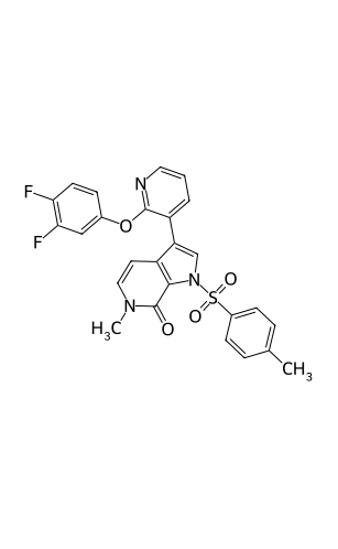 Cc1ccc(S(=O)(=O)n2cc(-c3cccnc3Oc3ccc(F)c(F)c3)c3ccn(C)c(=O)c32)cc1